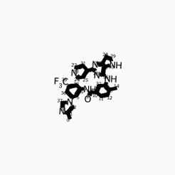 Cc1cn(-c2cc(NC(=O)c3ccc(C)c(Nc4nc(-c5ccncc5)nc5cc[nH]c45)c3)cc(C(F)(F)F)c2)cn1